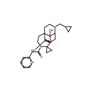 O=C(Cc1ccccn1)N1CCC23CCN(CC4CC4)C(Cc4ccc(O)cc42)C3(O)CC12CC2